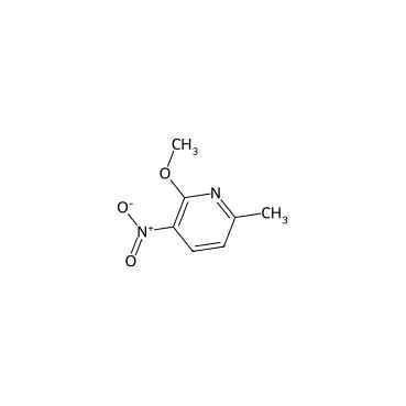 COc1nc(C)ccc1[N+](=O)[O-]